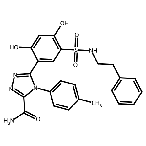 Cc1ccc(-n2c(C(N)=O)nnc2-c2cc(S(=O)(=O)NCCc3ccccc3)c(O)cc2O)cc1